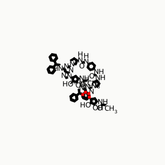 CCC(=O)N[C@H]1C[C@@H](n2cnc3c(NCC(c4ccccc4)c4ccccc4)nc(N4CC[C@@H](NC(=O)NC5CCC(NC(=O)N[C@H]6CCN(c7nc(NCC(c8ccccc8)c8ccccc8)c8ncn([C@@H]9C[C@H](NC(=O)CC)[C@@H](O)[C@H]9O)c8n7)C6)CC5)C4)nc32)[C@H](O)[C@@H]1O